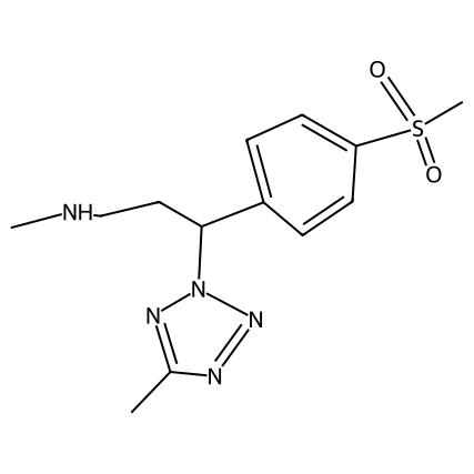 CNCCC(c1ccc(S(C)(=O)=O)cc1)n1nnc(C)n1